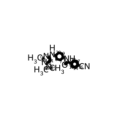 Cc1nc(NC2CCC(NC(=O)c3ccc(C#N)cc3)CC2)cc(N(C)C)n1